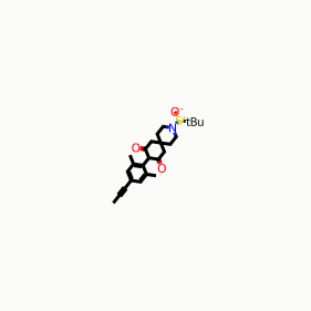 CC#Cc1cc(C)c(C2C(=O)CC3(CCN([S+]([O-])C(C)(C)C)CC3)CC2=O)c(C)c1